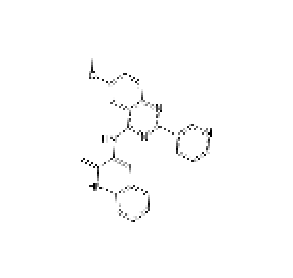 C=C1Nc2ccccc2C=C1Nc1nc(-c2cccnc2)nc2ccc(OC)cc12